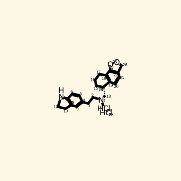 CN(CCc1ccc2c(c1)CCN2)C[C@@H]1CCCc2c1ccc1c2OOC1.Cl.Cl